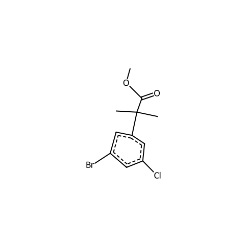 COC(=O)C(C)(C)c1cc(Cl)cc(Br)c1